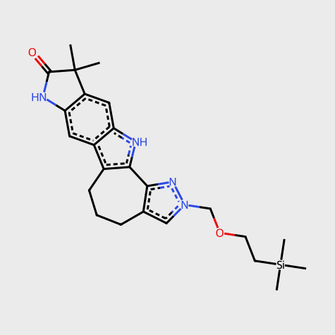 CC1(C)C(=O)Nc2cc3c4c([nH]c3cc21)-c1nn(COCC[Si](C)(C)C)cc1CCC4